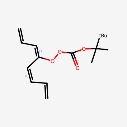 C=C/C=C\C(=C/C=C)OOC(=O)OC(C)(C)C(C)(C)C